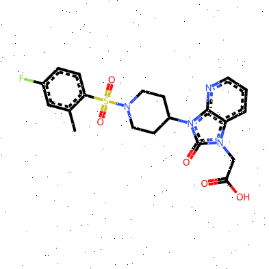 Cc1cc(F)ccc1S(=O)(=O)N1CCC(n2c(=O)n(CC(=O)O)c3cccnc32)CC1